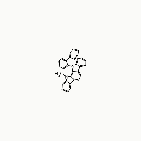 Cn1c2ccccc2c2ccc3c4ccccc4n(-c4ccccc4-c4ccccc4)c3c21